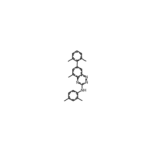 Cc1ccc(Nc2nnc3cc(-c4c(C)cccc4C)cc(C)c3n2)c(C)c1